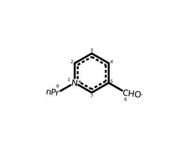 CCC[n+]1cccc([C]=O)c1